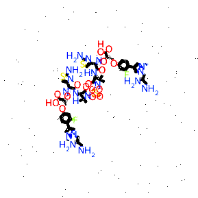 C[n+]1cc(-c2ccc(OC[C@H](O/N=C(\C(=O)N[C@@H]3C(=O)N(OS(=O)(=O)ON4C(=O)[C@@H](NC(=O)/C(=N\O[C@@H](COc5ccc(-c6cn(C[C@H](N)CN)[n+](C)c6)c(F)c5)C(=O)O)c5csc(N)n5)C4(C)C)C3(C)C)c3csc(N)n3)C(=O)O)cc2F)cn1C[C@H](N)CN